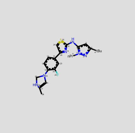 CCCn1nc(C(C)(C)C)cc1Nc1nc(-c2ccc(N3C=C(C)NC3)c(F)c2)cs1